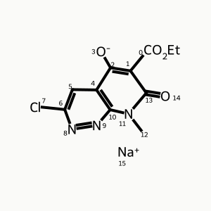 CCOC(=O)c1c([O-])c2cc(Cl)nnc2n(C)c1=O.[Na+]